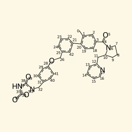 Cc1cc(C(=O)N2CCCC2Cc2ccccn2)ccc1-c1cccc(COc2ccc(Cn3oc(=O)[nH]c3=O)cc2)c1